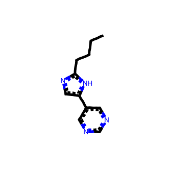 CCCCc1ncc(-c2cncnc2)[nH]1